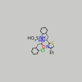 CCc1csc(C(Cc2ccccc2NS(=O)(=O)O)NC(=O)Cc2ccccc2Cl)n1